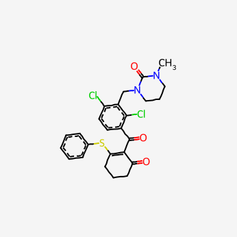 CN1CCCN(Cc2c(Cl)ccc(C(=O)C3=C(Sc4ccccc4)CCCC3=O)c2Cl)C1=O